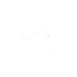 CCCCOCCOc1ccc(-c2ccc3c(c2)/C=C(/C(=O)Nc2ccc([S+]([O-])Cc4cnccc4CC)cc2)CCCN3C)cc1